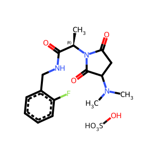 C[C@H](C(=O)NCc1ccccc1F)N1C(=O)CC(N(C)C)C1=O.O=S(=O)(O)O